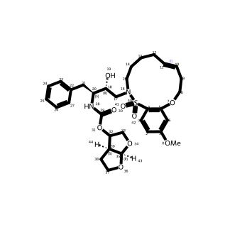 COc1ccc2c(c1)OCC/C=C/CCCCN(C[C@@H](O)[C@H](Cc1ccccc1)NC(=O)OC1CO[C@H]3OCC[C@@H]13)S2(=O)=O